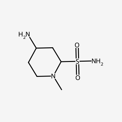 CN1CCC(N)CC1S(N)(=O)=O